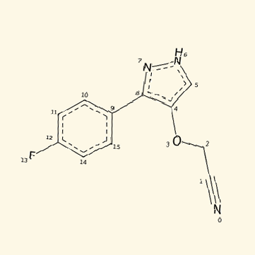 N#CCOc1c[nH]nc1-c1ccc(F)cc1